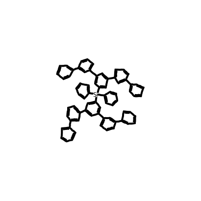 c1ccc(-c2cccc(-c3cc(-c4cccc(-c5ccccc5)c4)cc([Si](c4ccccc4)(c4ccccc4)c4cc(-c5cccc(-c6ccccc6)c5)cc(-c5cccc(-c6ccccc6)c5)c4)c3)c2)cc1